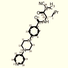 CC(C)C[C@H](NC(=O)c1ccc(N2CCN(c3ccncc3)CC2)cc1)C(=O)N(C)C#N